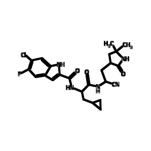 CC1(C)CC(CC(C#N)NC(=O)C(CC2CC2)NC(=O)c2cc3cc(F)c(Cl)cc3[nH]2)C(=O)N1